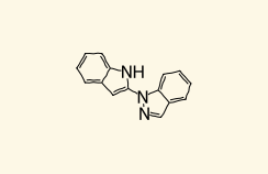 c1ccc2[nH]c(-n3ncc4ccccc43)cc2c1